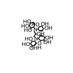 OC(CN([C@H]1C=C[C@@H](O)[C@@H](O)[C@@H]1O)[C@H]1C=C[C@@H](O)[C@@H](O)[C@@H]1O)CN([C@H]1C=C[C@@H](O)[C@@H](O)[C@@H]1O)[C@H]1C=C[C@@H](O)[C@@H](O)[C@@H]1O